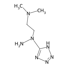 CN(C)CCN(N)c1nnn[nH]1